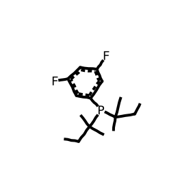 CCC(C)(C)P(c1cc(F)cc(F)c1)C(C)(C)CC